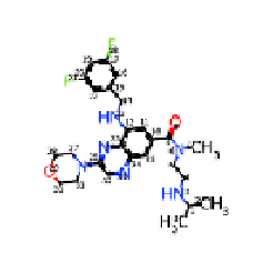 CC(C)NCCN(C)C(=O)c1cc(NCc2cc(F)cc(F)c2)c2nc(N3CCOCC3)cnc2c1